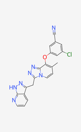 Cc1ccn2c(Cc3n[nH]c4ncccc34)nnc2c1Oc1cc(Cl)cc(C#N)c1